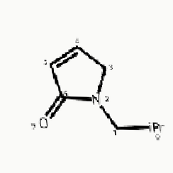 CC(C)CN1CC=CC1=O